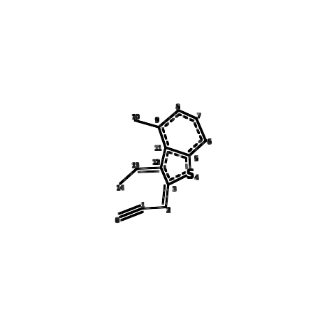 C#C/C=c1/sc2cccc(C)c2/c1=C/C